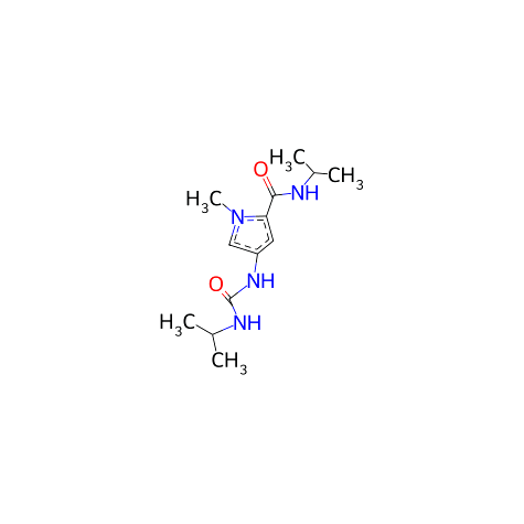 CC(C)NC(=O)Nc1cc(C(=O)NC(C)C)n(C)c1